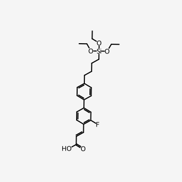 CCO[Si](CCCCc1ccc(-c2ccc(C=CC(=O)O)c(F)c2)cc1)(OCC)OCC